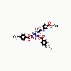 CC(C)(C)OC(=O)N1CC[C@H](NC(=O)CN/C(=N/C(=O)OC(=O)c2ccc([N+](=O)[O-])cc2)NC(=O)OC(=O)c2ccc([N+](=O)[O-])cc2)C1